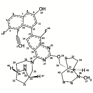 C#Cc1c(F)ccc2cc(O)cc(-c3ccc4c(N5CC[C@H]6CC[C@@H](C5)N6)nc(OC[C@]56CCC[C@H]5N(C)CCC6)nc4c3F)c12